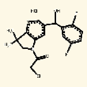 CC1(C)CN(C(=O)CCl)c2cc(C(O)c3cc(F)ccc3F)cnc21.Cl